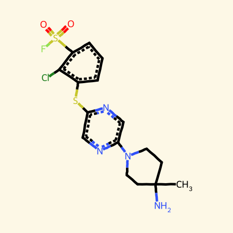 CC1(N)CCN(c2cnc(Sc3cccc(S(=O)(=O)F)c3Cl)cn2)CC1